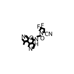 Cc1cnccc1-c1cnccc1C(=O)NCC(=O)N1CC(F)(F)CC1C#N